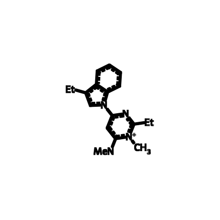 CCc1cn(-c2cc(NC)[n+](C)c(CC)n2)c2ccccc12